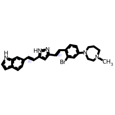 CN1CCCN(c2ccc(/C=C/c3cc(/C=C/c4ccc5cc[nH]c5c4)[nH]n3)c(Br)c2)CC1